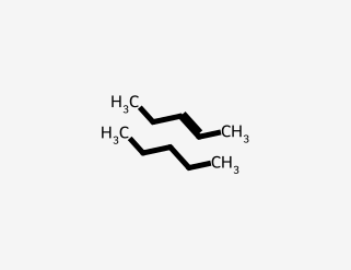 CC=CCC.CCCCC